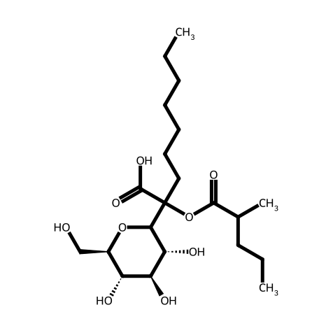 CCCCCCCC(OC(=O)C(C)CCC)(C(=O)O)C1O[C@H](CO)[C@@H](O)[C@H](O)[C@H]1O